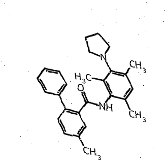 Cc1ccc(-c2ccccc2)c(C(=O)Nc2c(C)cc(C)c(N3CCCC3)c2C)c1